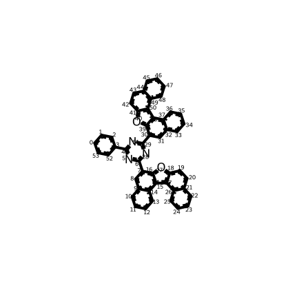 c1ccc(-c2nc(-c3cc4ccccc4c4c3oc3ccc5ccccc5c34)nc(-c3cc4ccccc4c4c3oc3ccc5ccccc5c34)n2)cc1